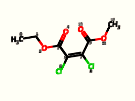 CCOC(=O)/C(Cl)=C(/Cl)C(=O)OC